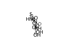 O=c1c2c([nH]n1-c1ccc(S(=O)(=O)NCC(O)CO)c(C3CCCC3)n1)CSC2